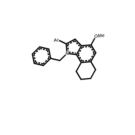 COc1cc2c(c3c1cc(C(C)=O)n3Cc1ccccc1)CCCC2